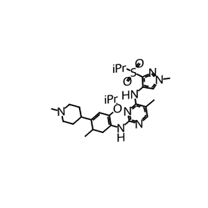 Cc1cnc(NC2=C(OC(C)C)C=C(C3CCN(C)CC3)C(C)C2)nc1Nc1cn(C)nc1S(=O)(=O)C(C)C